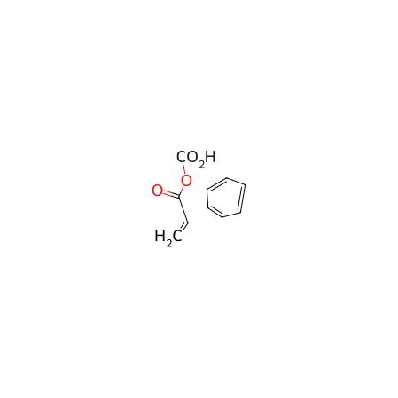 C=CC(=O)OC(=O)O.c1ccccc1